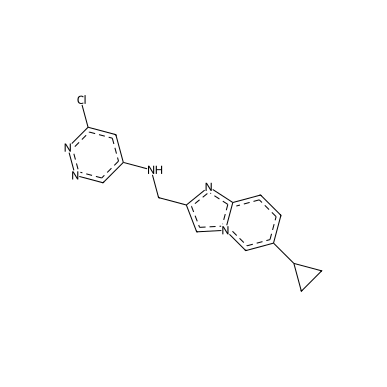 Clc1cc(NCc2cn3cc(C4CC4)ccc3n2)cnn1